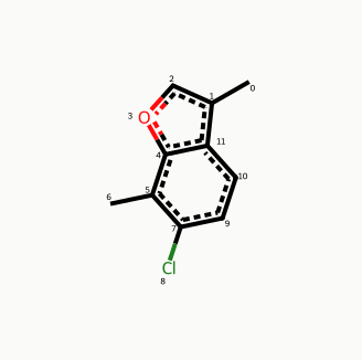 Cc1coc2c(C)c(Cl)ccc12